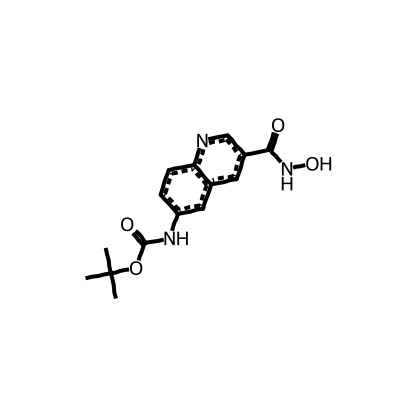 CC(C)(C)OC(=O)Nc1ccc2ncc(C(=O)NO)cc2c1